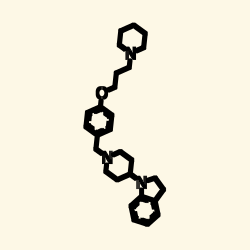 c1ccc2c(c1)CCN2C1CCN(Cc2ccc(OCCCN3CCCCC3)cc2)CC1